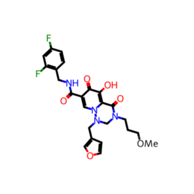 COCCCN1CN(Cc2ccoc2)n2cc(C(=O)NCc3ccc(F)cc3F)c(=O)c(O)c2C1=O